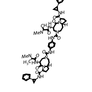 CN[C@@H](C)C(=O)N[C@H]1CN(C(=O)Nc2ccc(NC(=O)N3CC[C@H]4CC[C@@H](C(=O)N[C@H]5C[C@H]5c5ccccc5)N4C(=O)[C@H](NC(=O)[C@H](C)NC)C3)cc2)CC[C@H]2CC[C@@H](C(=O)N[C@H]3C[C@H]3c3ccccc3)N2C1=O